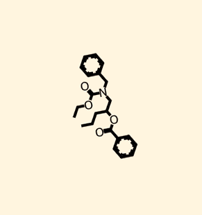 CCCC(CN(Cc1ccccc1)C(=O)OCC)OC(=O)c1ccccc1